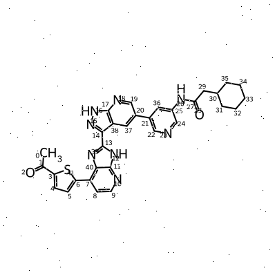 CC(=O)c1ccc(-c2ccnc3[nH]c(-c4n[nH]c5ncc(-c6cncc(NC(=O)CC7CCCCC7)c6)cc45)nc23)s1